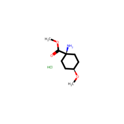 COC(=O)[C@]1(N)CC[C@@H](OC)CC1.Cl